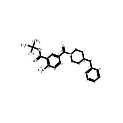 CC(C)(C)OC(=O)c1cc(C(=O)N2CCC(Cc3ccccc3)CC2)ccc1N